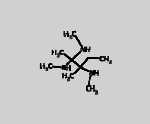 CCC(C)(NC)C(C)(NC)NC